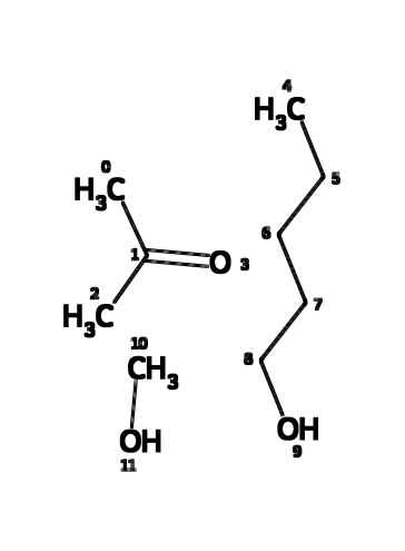 CC(C)=O.CCCCCO.CO